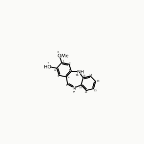 COc1cc2c(cc1O)C=Nc1ccccc1N2